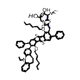 [C-]#[N+]/C(C(=O)O)=c1\s/c(=C/c2c(-c3ccccc3)cc3sc4c(sc5cc(-c6ccccc6)c(-c6ccc7c(c6)CCc6ccccc6N7CC)c(OCCCCCC)c54)c3c2OCCCCCC)c(=O)n1CC(=O)O